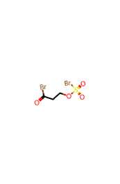 O=C(Br)CCOS(=O)(=O)Br